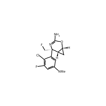 CNc1cc(F)c(Cl)c([C@@]2(CF)N=C(N)O[C@@H]3C[C@@H]32)c1